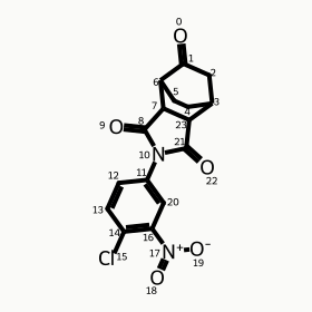 O=C1CC2CCC1C1C(=O)N(c3ccc(Cl)c([N+](=O)[O-])c3)C(=O)C21